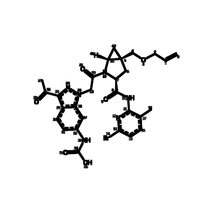 C=CCOC[C@@]12C[C@@H](C(=O)Nc3nc(Br)ccc3C)N(C(=O)Cn3nc(C(C)=O)c4ccc(NC(=O)O)cc43)[C@@H]1C2